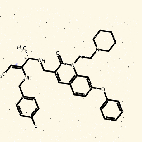 C/C=C(\NCc1ccc(F)cc1)[C@H](C)NCc1cc2ccc(Oc3ccccc3)cc2n(CCN2CCCCC2)c1=O